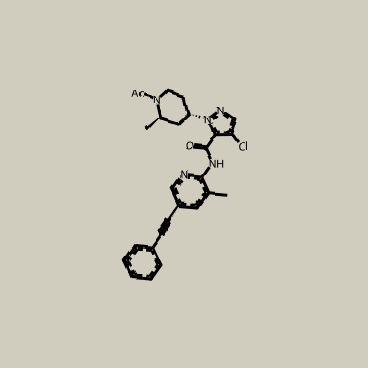 CC(=O)N1CC[C@H](n2ncc(Cl)c2C(=O)Nc2ncc(C#Cc3ccccc3)cc2C)C[C@H]1C